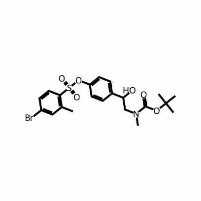 Cc1cc(Br)ccc1S(=O)(=O)Oc1ccc(C(O)CN(C)C(=O)OC(C)(C)C)cc1